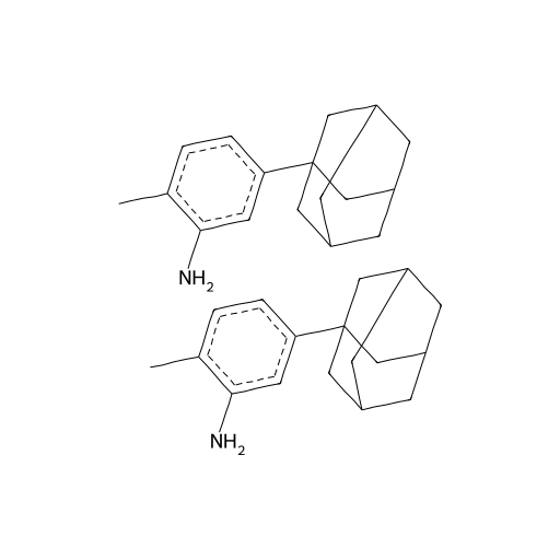 Cc1ccc(C23CC4CC(CC(C4)C2)C3)cc1N.Cc1ccc(C23CC4CC(CC(C4)C2)C3)cc1N